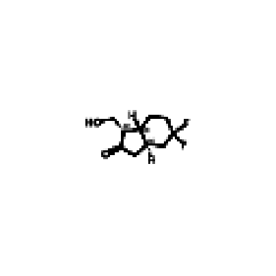 O=C1C[C@@H]2CC(F)(F)CC[C@H]2[C@H]1CO